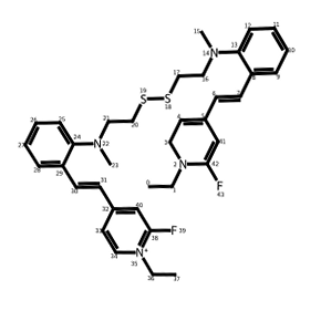 CCN1CC=C(/C=C/c2ccccc2N(C)CCSSCCN(C)c2ccccc2/C=C/c2cc[n+](CC)c(F)c2)C=C1F